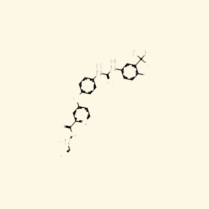 O=CNOC(=O)c1cc(Oc2ccc(NC(=O)Nc3ccc(Cl)c(C(F)(F)F)c3)cc2)ccn1